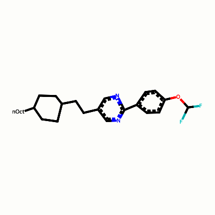 CCCCCCCCC1CCC(CCc2cnc(-c3ccc(OC(F)F)cc3)nc2)CC1